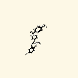 N[C@H](Cc1cc(F)ccc1F)C1CCN(C(=O)c2ccc(C(F)(F)F)nc2)CC1